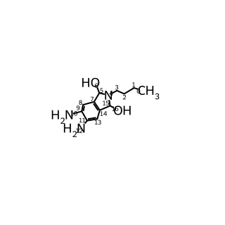 CCCCN1C(O)c2cc(N)c(N)cc2C1O